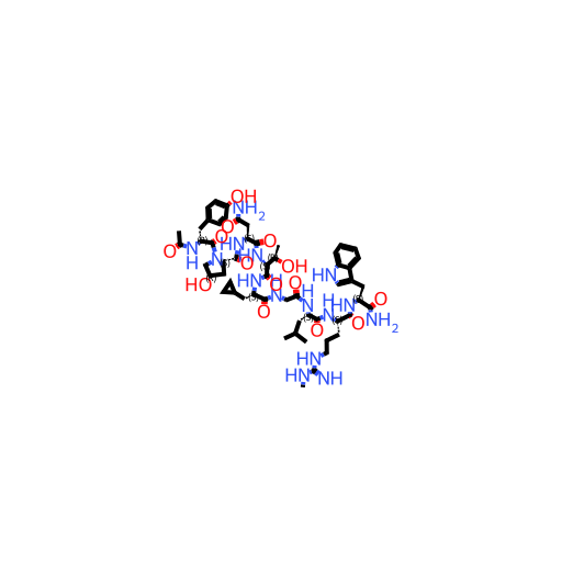 CNC(=N)NCCC[C@H](NC(=O)[C@H](CC(C)C)NC(=O)CNC(=O)[C@H](CC1CC1)NC(=O)[C@@H](NC(=O)[C@H](CC(N)=O)NC(=O)[C@@H]1C[C@@H](O)CN1C(=O)[C@@H](Cc1ccc(O)cc1)NC(C)=O)[C@@H](C)O)C(=O)N[C@@H](Cc1c[nH]c2ccccc12)C(N)=O